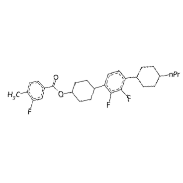 CCCC1CCC(c2ccc(C3CCC(OC(=O)c4ccc(C)c(F)c4)CC3)c(F)c2F)CC1